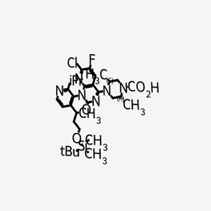 CC(C)c1nccc(C(C)CCO[Si](C)(C)C(C)(C)C)c1-n1c(=O)nc(N2C[C@@H](C)N(C(=O)O)C[C@@H]2C)c2cc(F)c(Cl)nc21